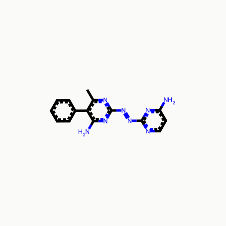 Cc1nc(N=Nc2nccc(N)n2)nc(N)c1-c1ccccc1